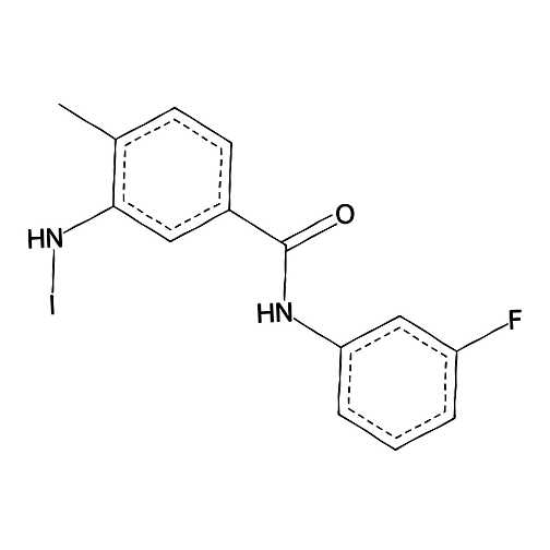 Cc1ccc(C(=O)Nc2cccc(F)c2)cc1NI